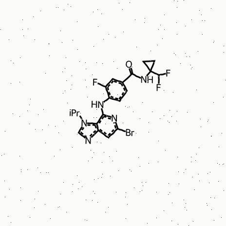 CC(C)n1cnc2cc(Br)nc(Nc3ccc(C(=O)NC4(C(F)F)CC4)cc3F)c21